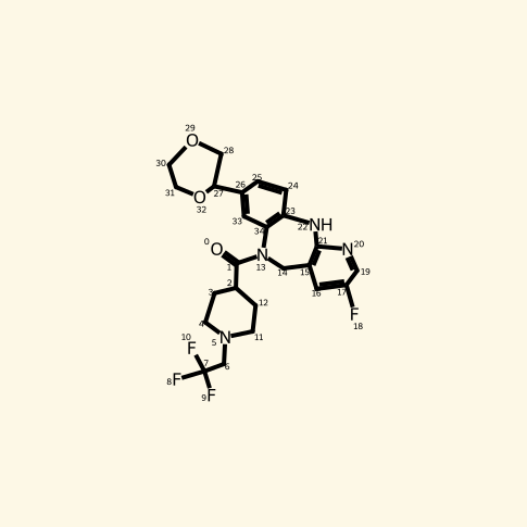 O=C(C1CCN(CC(F)(F)F)CC1)N1Cc2cc(F)cnc2Nc2ccc(C3COCCO3)cc21